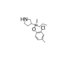 CCC[C@@](I)(Oc1ccc(C)cc1Cl)C1CCNC1